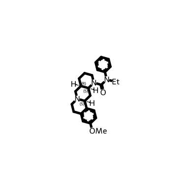 CCN(C(=O)N1CCC[C@@H]2CN3CCc4cc(OC)ccc4[C@@H]3C[C@@H]21)c1ccccc1